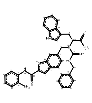 NC(=O)[C@H](Cc1c[nH]c2ccccc12)N(Cc1ccc2cc(C(=O)Nc3ccccc3N)sc2c1)C(=O)OCc1ccccc1